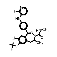 CNC(=O)N1N=C(c2ccc(Nc3cccnc3F)cc2)c2cc(Cl)c(OC(F)(F)F)cc2CC1C